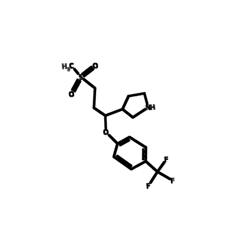 CS(=O)(=O)CCC(Oc1ccc(C(F)(F)F)cc1)C1CCNC1